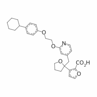 O=C(O)c1occc1C1(Cc2ccnc(OCCOc3ccc(C4CCCCC4)cc3)c2)CCCO1